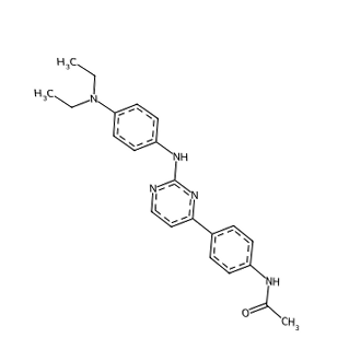 CCN(CC)c1ccc(Nc2nccc(-c3ccc(NC(C)=O)cc3)n2)cc1